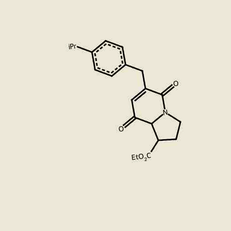 CCOC(=O)C1CCN2C(=O)C(Cc3ccc(C(C)C)cc3)=CC(=O)C12